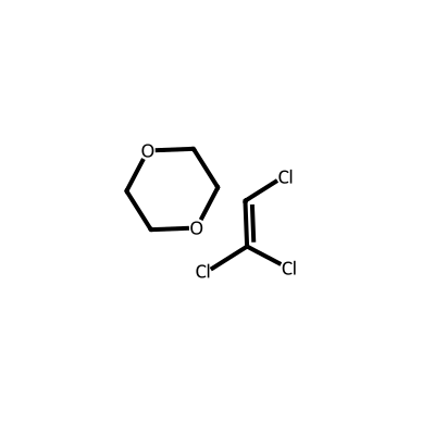 C1COCCO1.ClC=C(Cl)Cl